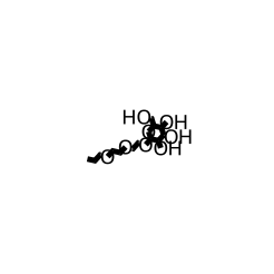 CCCOCCOCCOC1OC(CO)C(O)C(O)C1O